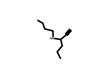 C#CC(CCC)NCCCI